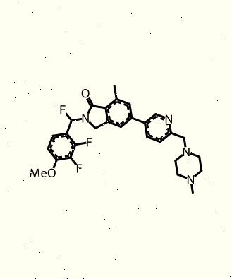 COc1ccc(C(F)N2Cc3cc(-c4ccc(CN5CCN(C)CC5)nc4)cc(C)c3C2=O)c(F)c1F